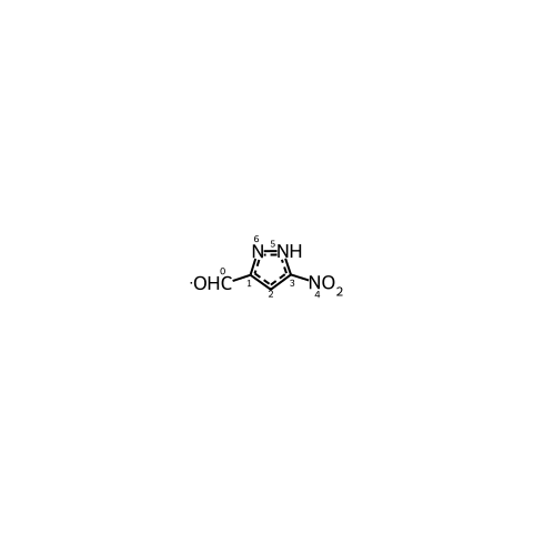 O=[C]c1cc([N+](=O)[O-])[nH]n1